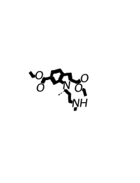 CCOC(=O)c1ccc2cc(C(=O)OCC)n([C@@H](C)CCNC)c2c1